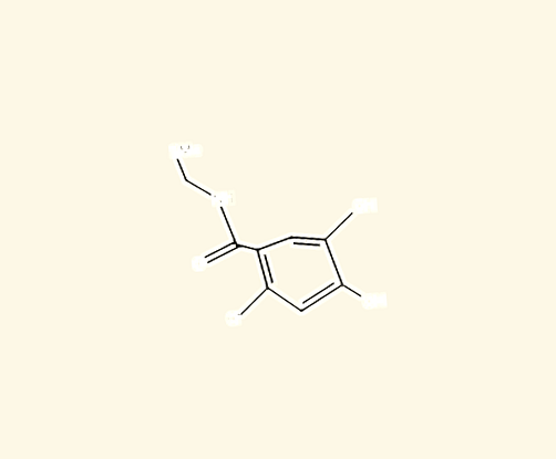 CSCNC(=O)c1cc(O)c(O)cc1Cl